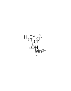 CO.[Cl-].[Cl-].[Mn+2]